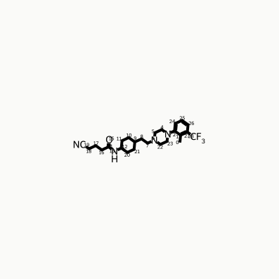 Cc1c(N2CCN(CCC3CCC(NC(=O)CCCC#N)CC3)CC2)cccc1C(F)(F)F